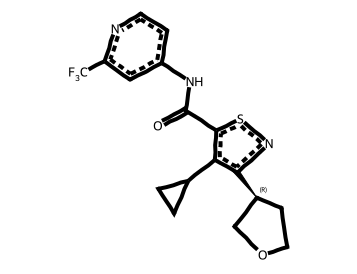 O=C(Nc1ccnc(C(F)(F)F)c1)c1snc([C@H]2CCOC2)c1C1CC1